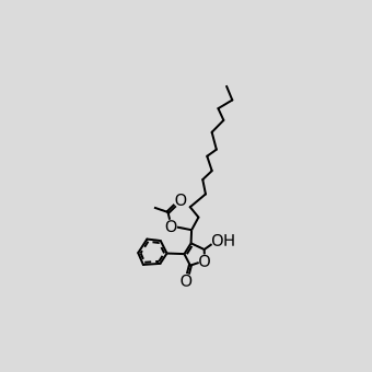 CCCCCCCCCCCCC(OC(C)=O)C1=C(c2ccccc2)C(=O)OC1O